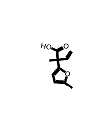 C=CC(C)(C(=O)O)c1ccc(C)o1